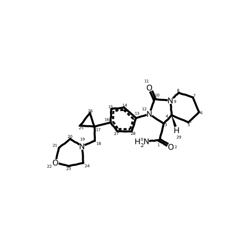 NC(=O)C1[C@H]2[CH]CCCN2C(=O)N1c1ccc(C2(CN3CCOCC3)CC2)cc1